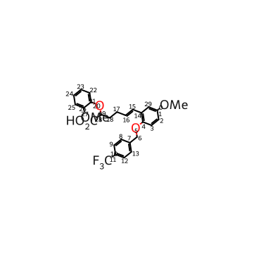 COc1ccc(OCc2ccc(C(F)(F)F)cc2)c(/C=C/CCC(Oc2ccccc2OC)C(=O)O)c1